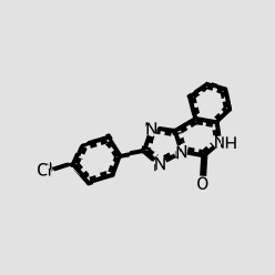 O=c1[nH]c2ccccc2c2nc(-c3ccc(Cl)cc3)nn12